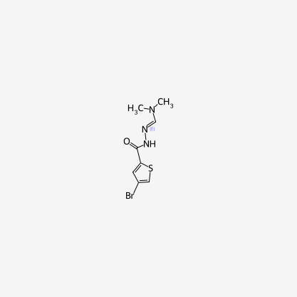 CN(C)/C=N/NC(=O)c1cc(Br)cs1